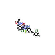 Cc1ccc(C#Cc2ccc(-c3nn(-c4cc(CNC(=O)C5CC5)ccc4Cl)c(=O)[nH]3)c(F)c2)c(Cl)c1